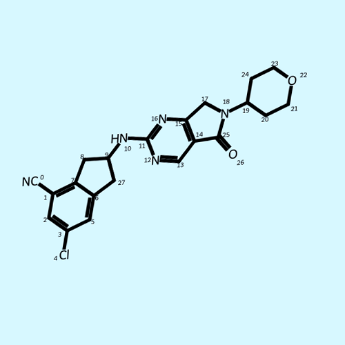 N#Cc1cc(Cl)cc2c1CC(Nc1ncc3c(n1)CN(C1CCOCC1)C3=O)C2